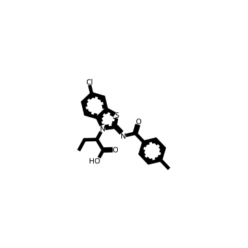 CCC(C(=O)O)n1c(=NC(=O)c2ccc(C)cc2)sc2cc(Cl)ccc21